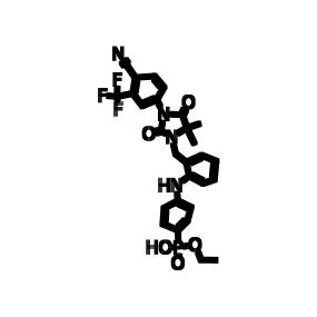 CCOP(=O)(O)c1ccc(Nc2ccccc2CN2C(=O)N(c3ccc(C#N)c(C(F)(F)F)c3)C(=O)C2(C)C)cc1